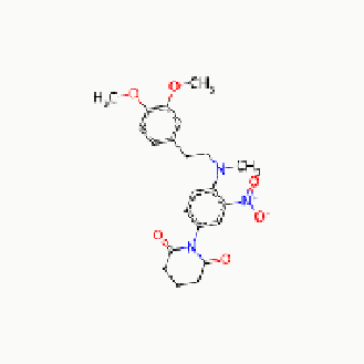 COc1ccc(CCN(C)c2ccc(N3C(=O)CCCC3=O)cc2[N+](=O)[O-])cc1OC